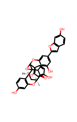 C[C@@]12C[C@@H](c3ccc(O)cc3O1)C13OC1(c1ccc(O)cc1O)Oc1cc(-c4cc5ccc(O)cc5o4)cc(O)c1C3C2=O